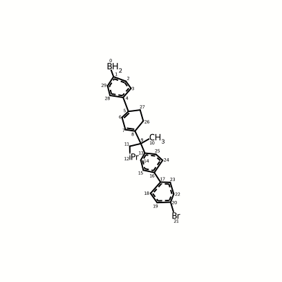 Bc1ccc(C2=CC=C(C(C)(CC(C)C)c3ccc(-c4ccc(Br)cc4)cc3)CC2)cc1